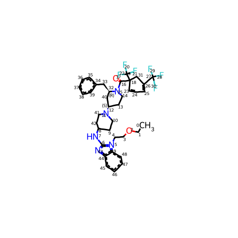 CCOCCn1c(NC2CCN([C@H]3CCN(C(=O)C4(C(F)(F)F)C=CC=C(C(F)(F)F)C4)[C@H](Cc4ccccc4)C3)CC2)nc2ccccc21